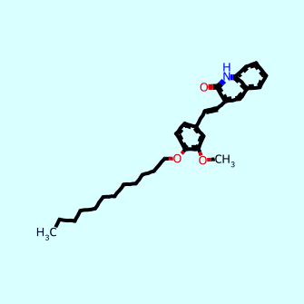 CCCCCCCCCCCCOc1ccc(C=Cc2cc3ccccc3[nH]c2=O)cc1OC